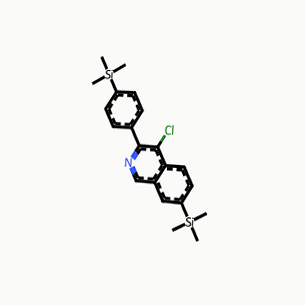 C[Si](C)(C)c1ccc(-c2ncc3cc([Si](C)(C)C)ccc3c2Cl)cc1